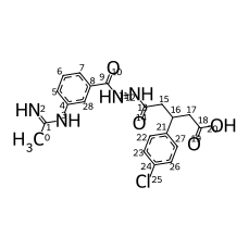 CC(=N)Nc1cccc(C(=O)NNC(=O)CC(CC(=O)O)c2ccc(Cl)cc2)c1